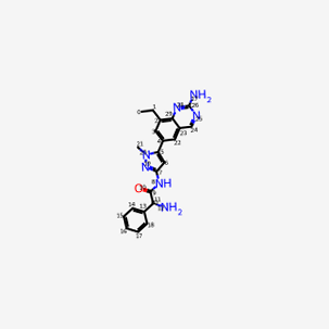 CCc1cc(-c2cc(NC(=O)[C@@H](N)c3ccccc3)nn2C)cc2cnc(N)nc12